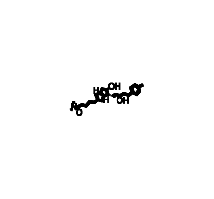 Cc1ccc(CC[C@@H](O)/C=C/[C@@H]2[C@H]3CC(CCCCC(=O)N(C)C)=C[C@H]3C[C@H]2O)cc1